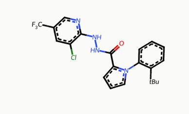 CC(C)(C)c1ccccc1-n1cccc1C(=O)NNc1ncc(C(F)(F)F)cc1Cl